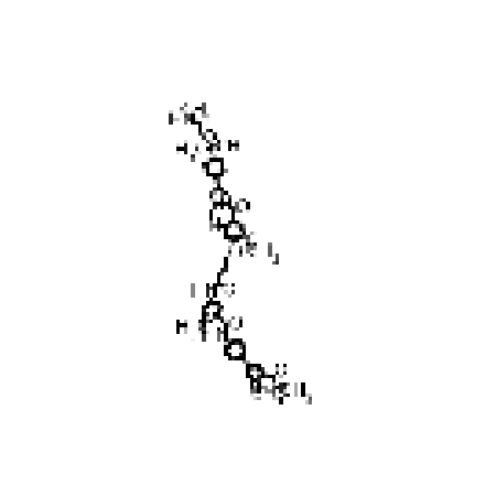 CNCCOC(C)(C)c1ccc(C2=CN3C(=O)c4cc(OC)c(OCCCC(=O)Nc5cc(C(=O)Nc6ccc(-c7cc(C(=O)NC)n(C)c7)cc6)n(C)c5)cc4N=CC3C2)cc1